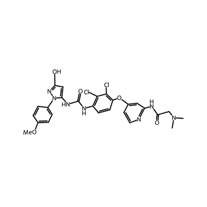 COc1ccc(-n2nc(O)cc2NC(=O)Nc2ccc(Oc3ccnc(NC(=O)CN(C)C)c3)c(Cl)c2Cl)cc1